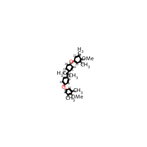 COc1c(C)cc(Oc2ccc(C(C)(C)c3ccc(Oc4cc(C)c(OC)c(C)c4)cc3)cc2)cc1C